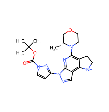 C[C@@H]1COCCN1c1nc2c(cnn2-c2ccn(C(=O)OC(C)(C)C)n2)c2c1CCN2